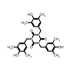 Cc1cc(Cn2c(=O)n(Cc3cc(C)c(O)c(C)c3)c(=O)n(Cc3cc(C)c(O)c(C)c3)c2=O)cc(C)c1O